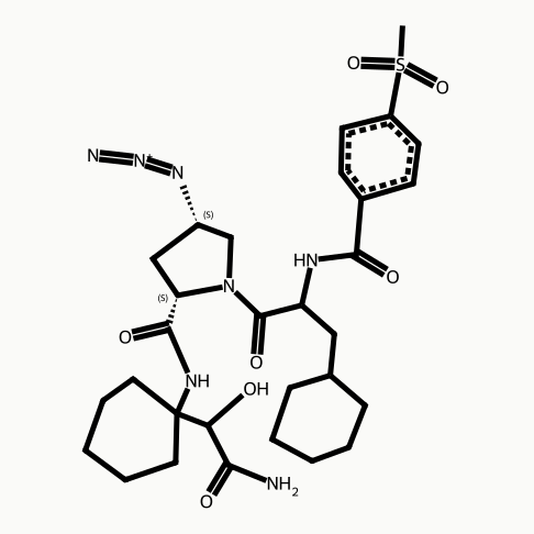 CS(=O)(=O)c1ccc(C(=O)NC(CC2CCCCC2)C(=O)N2C[C@@H](N=[N+]=[N-])C[C@H]2C(=O)NC2(C(O)C(N)=O)CCCCC2)cc1